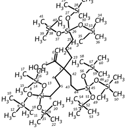 C=C(C(=O)O)C(CCC[Si](O[Si](C)(C)C)(O[Si](C)(C)C)O[Si](C)(C)C)(CCC[Si](O[Si](C)(C)C)(O[Si](C)(C)C)O[Si](C)(C)C)CCC[Si](O[Si](C)(C)C)(O[Si](C)(C)C)O[Si](C)(C)C